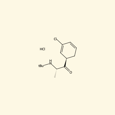 C[C@H](NC(C)(C)C)C(=O)[C@H]1C=C(Cl)C=CC1.Cl